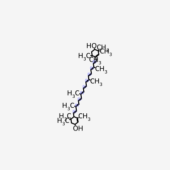 CC1=CC(O)CC(C)(C)C1/C=C/C(C)=C/C=C/C(C)=C/C=C/C=C(C)/C=C/C=C(C)/C=C/C1=CC(C)(C)C(O)CC1(C)C